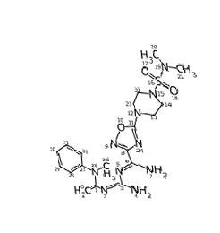 C=C(/N=C(N)\N=C(/N)c1noc(N2CCN(S(=O)(=O)N(C)C)CC2)n1)N(C)c1ccccc1